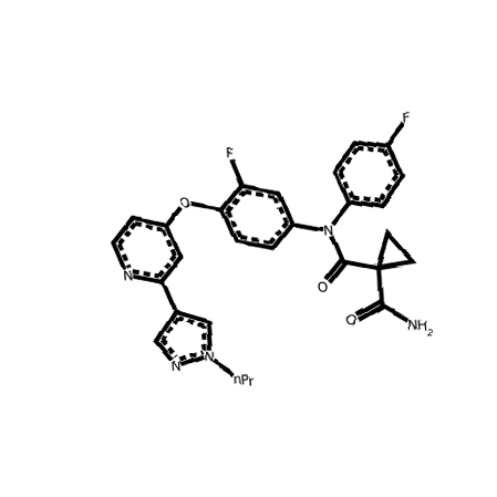 CCCn1cc(-c2cc(Oc3ccc(N(C(=O)C4(C(N)=O)CC4)c4ccc(F)cc4)cc3F)ccn2)cn1